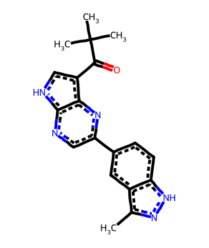 Cc1n[nH]c2ccc(-c3cnc4[nH]cc(C(=O)C(C)(C)C)c4n3)cc12